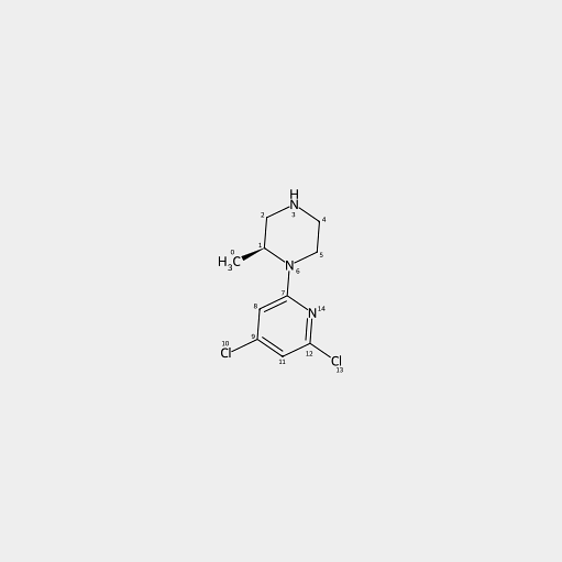 C[C@H]1CNCCN1c1cc(Cl)cc(Cl)n1